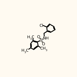 Cc1cc(C)c(S(=O)(=O)NCc2ccccc2Cl)c(C)c1